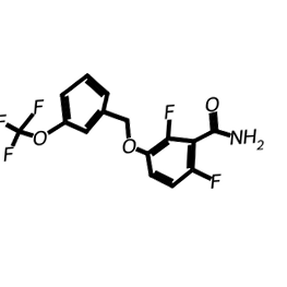 NC(=O)c1c(F)ccc(OCc2cccc(OC(F)(F)F)c2)c1F